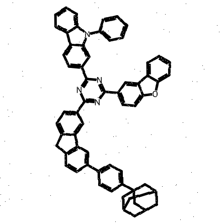 c1ccc(-n2c3ccccc3c3ccc(-c4nc(-c5ccc6c(c5)-c5cc(-c7ccc(C89CC%10CC(CC(C%10)C8)C9)cc7)ccc5C6)nc(-c5ccc6oc7ccccc7c6c5)n4)cc32)cc1